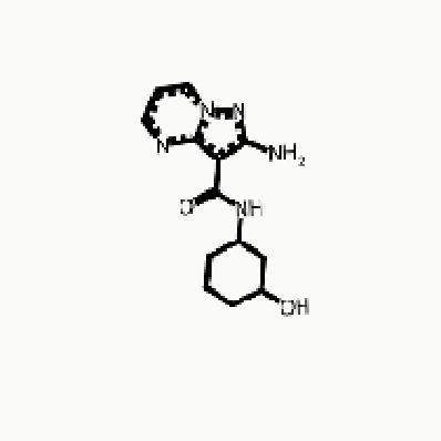 Nc1nn2cccnc2c1C(=O)NC1CCCC(O)C1